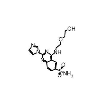 NS(=O)(=O)c1ccc2nc(-n3ccnc3)nc(NCCOCCO)c2c1